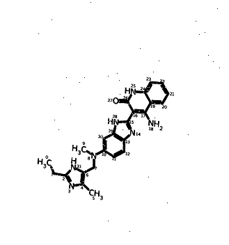 CCc1nc(C)c(CN(C)c2ccc3nc(-c4c(N)c5ccccc5[nH]c4=O)[nH]c3c2)[nH]1